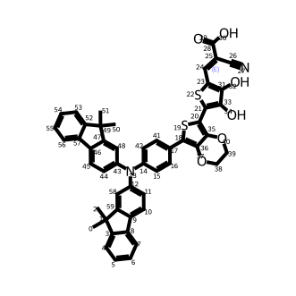 CC1(C)c2ccccc2-c2ccc(N(c3ccc(-c4sc(-c5sc(/C=C(\C#N)C(=O)O)c(O)c5O)c5c4OCCO5)cc3)c3ccc4c(c3)C(C)(C)c3ccccc3-4)cc21